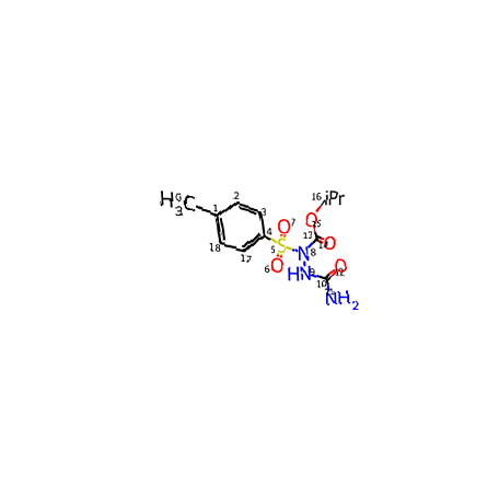 Cc1ccc(S(=O)(=O)N(NC(N)=O)C(=O)OC(C)C)cc1